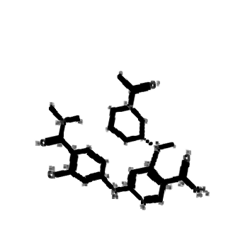 CC(=O)N1CCC[C@@H](N(C)c2cc(Nc3ccc(C(=O)N(C)C)c(Cl)c3)ncc2C(N)=O)C1